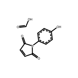 O=C1C=CC(=O)N1c1ccc(O)cc1.O=[C]O